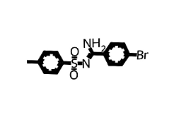 Cc1ccc(S(=O)(=O)N=C(N)c2ccc(Br)cc2)cc1